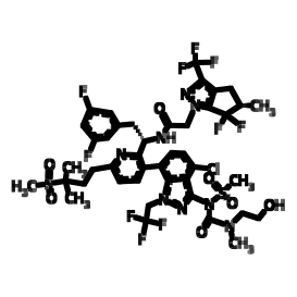 C[C@@H]1Cc2c(C(F)(F)F)nn(CC(=O)N[C@@H](Cc3cc(F)cc(F)c3)c3nc(CCC(C)(C)S(C)(=O)=O)ccc3-c3ccc(Cl)c4c(N(C(=O)N(C)CCO)S(C)(=O)=O)nn(CC(F)(F)F)c34)c2C1(F)F